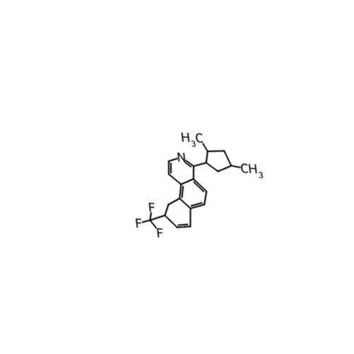 CC1CC(C)C(c2nccc3c4c(ccc23)C=CC(C(F)(F)F)C4)C1